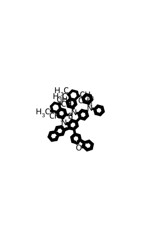 CC1(C)CCC(C)(C)c2cc(N3B4c5cc6c(cc5-n5c7cc8ccccc8cc7c7c(-c8ccc9oc%10ccccc%10c9c8)cc(c4c75)-c4ccc(N(c5ccccc5)c5ccccc5)cc43)C(C)(C)CCC6(C)C)ccc21